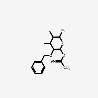 CCC1OC(OC(=N)C(Cl)(Cl)Cl)C(OCc2ccccc2)C(C)C1C